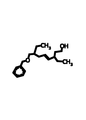 CCC(C=CCC(CC)COCc1ccccc1)CCO